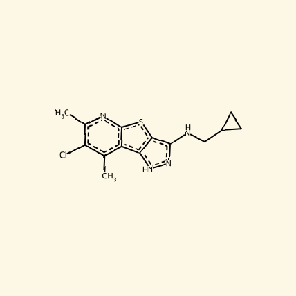 Cc1nc2sc3c(NCC4CC4)n[nH]c3c2c(C)c1Cl